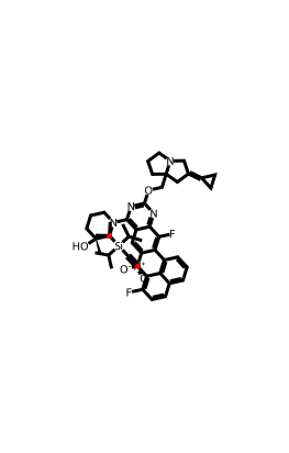 CC(C)[Si](C#Cc1c(F)ccc2cccc(-c3c([N+](=O)[O-])cc4c(N5CCC[C@@](C)(O)C5)nc(OCC56CCCN5CC(=C5CC5)C6)nc4c3F)c12)(C(C)C)C(C)C